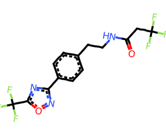 O=C(CC(F)(F)F)NCCc1ccc(-c2noc(C(F)(F)F)n2)cc1